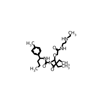 CCCC(NC(=O)N1C(=O)C(CC)(CC)C1OCC(=O)NCCNCC)c1ccc(C)cc1